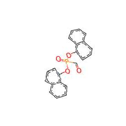 O=CP(=O)(Oc1cccc2ccccc12)Oc1cccc2ccccc12